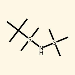 CC(C)(C)S(C)(C)NS(C)(C)C